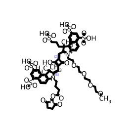 COCCOCCOCCOCC[N+]1=C(/C=C2\C(=O)C(/C=C3/N(CCCC(=O)ON4C(=O)CCC4=O)c4ccc5c(S(=O)(=O)O)cc(S(=O)(=O)O)cc5c4C3(C)C)=C2O)C(C)(CCCS(=O)(=O)O)c2c1ccc1c(S(=O)(=O)O)cc(S(=O)(=O)O)cc21